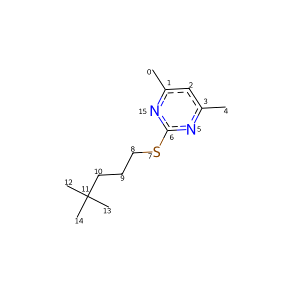 Cc1cc(C)nc(SCCCC(C)(C)C)n1